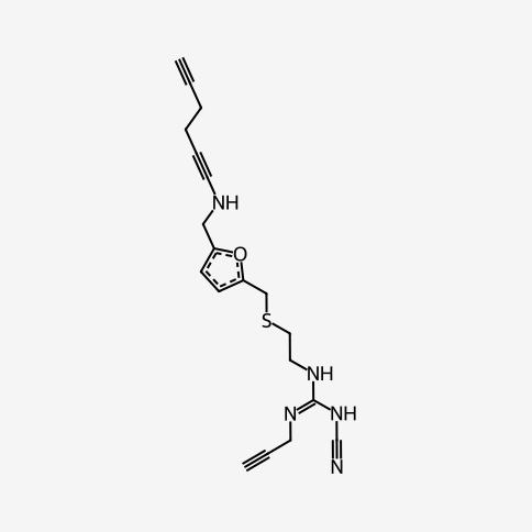 C#CCCC#CNCc1ccc(CSCCNC(=NCC#C)NC#N)o1